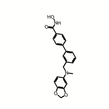 CN(Cc1cccc(-c2ccc(C(=O)NO)cc2)c1)c1ccc2c(c1)OCO2